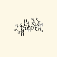 CC1(OPOC2(C)NCCCS2)NCCCS1